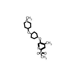 Cc1cc(S(C)(=O)=O)ncc1O[C@H]1CC[C@H](OC2CCN(C)CC2)CC1